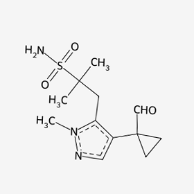 Cn1ncc(C2(C=O)CC2)c1CC(C)(C)S(N)(=O)=O